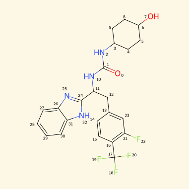 O=C(NC1CCC(O)CC1)NC(Cc1ccc(C(F)(F)F)c(F)c1)c1nc2ccccc2[nH]1